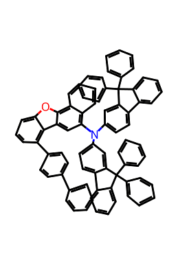 c1ccc(-c2ccc(-c3cccc4oc5c6ccccc6c(N(c6ccc7c(c6)C(c6ccccc6)(c6ccccc6)c6ccccc6-7)c6ccc7c(c6)C(c6ccccc6)(c6ccccc6)c6ccccc6-7)cc5c34)cc2)cc1